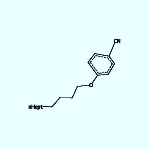 CCCCCCCCCCCOc1ccc(C#N)cc1